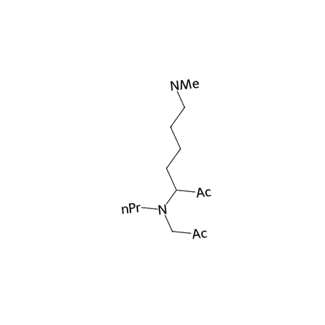 CCCN(CC(C)=O)C(CCCCNC)C(C)=O